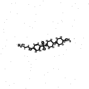 CCCOc1ccc(S(=O)(=O)N2CCC(N3CCC(C)CC3)CC2)cc1